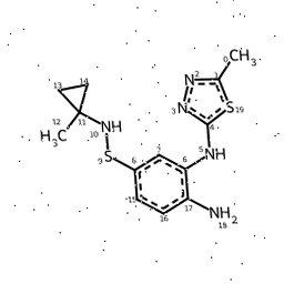 Cc1nnc(Nc2cc(SNC3(C)CC3)ccc2N)s1